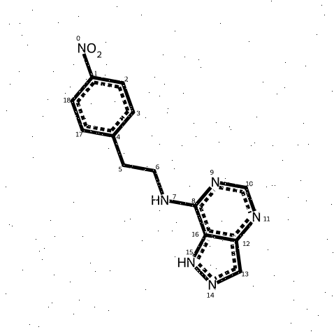 O=[N+]([O-])c1ccc(CCNc2ncnc3cn[nH]c23)cc1